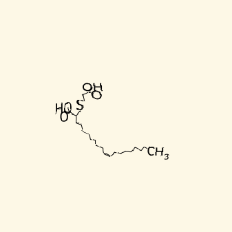 CCCCCCCC/C=C\CCCCCCCCC(CSCCC(=O)O)C(=O)O